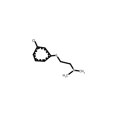 CN(C)CCSc1cc[c]c(Cl)c1